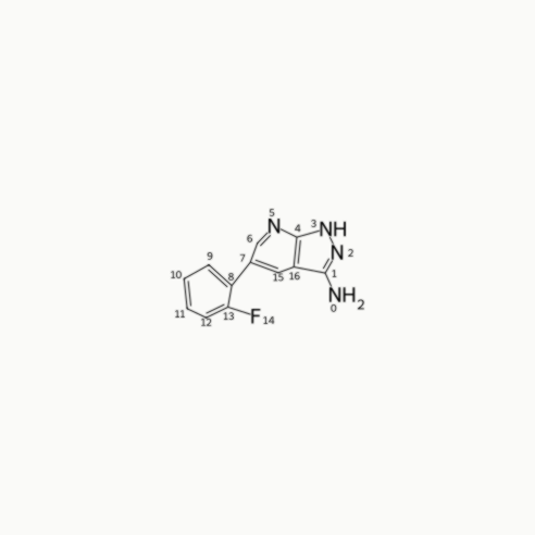 Nc1n[nH]c2ncc(-c3ccccc3F)cc12